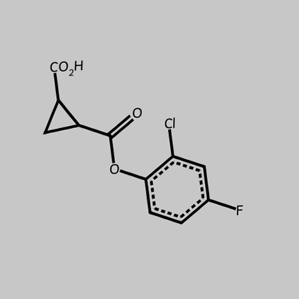 O=C(O)C1CC1C(=O)Oc1ccc(F)cc1Cl